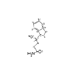 NC(=O)CC[S+]([O-])C1CCc2ccccc21